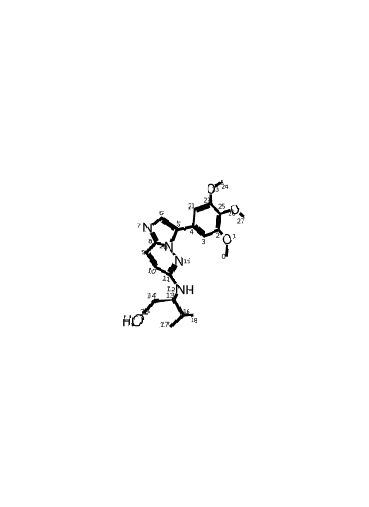 COc1cc(-c2cnc3ccc(N[C@H](CO)C(C)C)nn23)cc(OC)c1OC